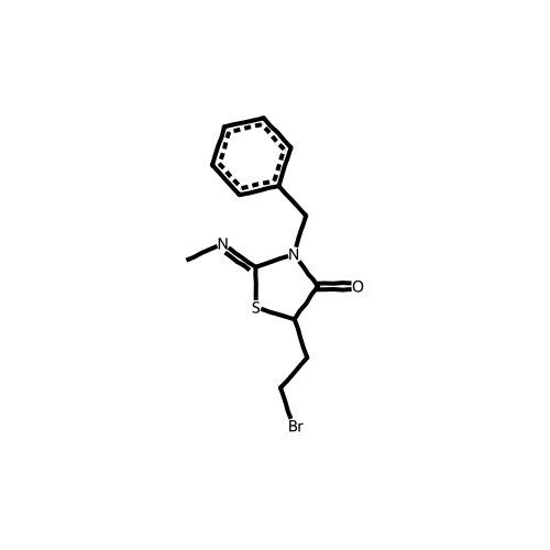 CN=C1SC(CCBr)C(=O)N1Cc1ccccc1